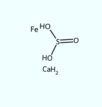 O=S(O)O.[CaH2].[Fe]